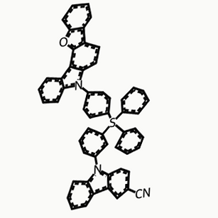 N#Cc1ccc2c(c1)c1ccccc1n2-c1cccc(S(c2ccccc2)(c2ccccc2)c2ccc(-n3c4ccccc4c4c5oc6ccccc6c5ccc43)cc2)c1